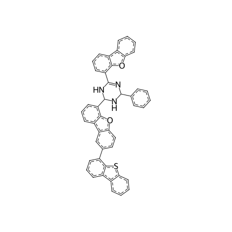 c1ccc(C2N=C(c3cccc4c3oc3ccccc34)NC(c3cccc4c3oc3ccc(-c5cccc6c5sc5ccccc56)cc34)N2)cc1